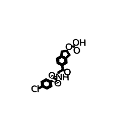 O=C(O)OC1Cc2ccc(C(=O)CNS(=O)(=O)c3ccc(Cl)cc3)cc2C1